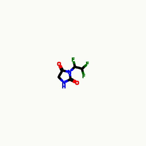 O=C1CNC(=O)N1C(F)C(F)F